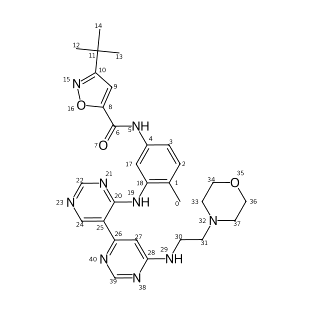 Cc1ccc(NC(=O)c2cc(C(C)(C)C)no2)cc1Nc1ncncc1-c1cc(NCCN2CCOCC2)ncn1